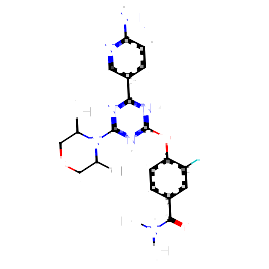 CC1COCC(C)N1c1nc(Oc2ccc(C(=O)N(C)C)cc2F)nc(-c2ccc(N)nc2)n1